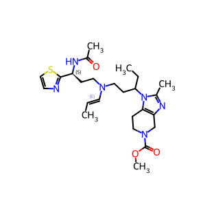 C/C=C/N(CCC(CC)n1c(C)nc2c1CCN(C(=O)OC)C2)CC[C@H](NC(C)=O)c1nccs1